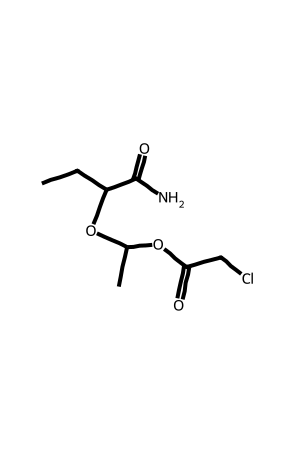 CCC(OC(C)OC(=O)CCl)C(N)=O